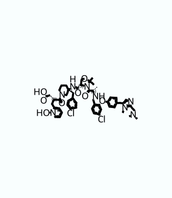 C[C@H](NCc1ccc(Cl)cc1Oc1ccc(-c2cnc(CN(C)C)n2C)cc1)C(=O)N1[C@H](C(=O)N[C@@]2(Cc3ccc(Cl)cc3)CCCN(C(=O)[C@@H](CC(=O)O)Cc3cccc[n+]3O)C2)COC1(C)C